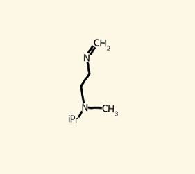 C=NCCN(C)C(C)C